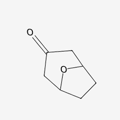 O=C1CC2CCC(C1)O2